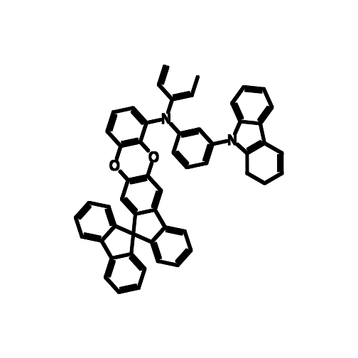 C=C/C(=C\C)N(c1cccc(-n2c3c(c4ccccc42)C=CCC3)c1)c1cccc2c1Oc1cc3c(cc1O2)C1(c2ccccc2-c2ccccc21)c1ccccc1-3